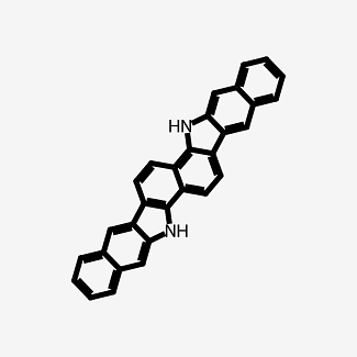 c1ccc2cc3c(cc2c1)[nH]c1c3ccc2c1ccc1c3cc4ccccc4cc3[nH]c12